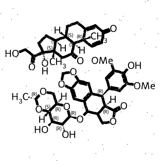 COc1cc([C@@H]2c3cc4c(cc3C(O[C@@H]3O[C@@H]5CO[C@@H](C)O[C@H]5[C@H](O)[C@H]3O)C3COC(=O)[C@@H]32)OCO4)cc(OC)c1O.C[C@]12C=CC(=O)C=C1CC[C@@H]1[C@@H]2C(=O)C[C@@]2(C)[C@H]1CC[C@]2(O)C(=O)CO